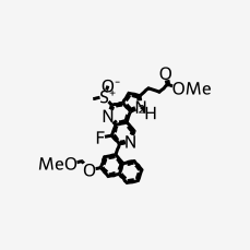 [2H]n1c(CCC(=O)OC)cc2c([S+](C)[O-])nc3c(F)c(-c4cc(OCOC)cc5ccccc45)ncc3c21